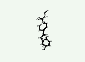 CCOC(=O)N1CC=C(c2cc3cc(C)ccc3o2)CC1